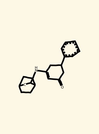 O=C1C=C(NC2CC3CCC2CC3)CC(c2ccccc2)C1